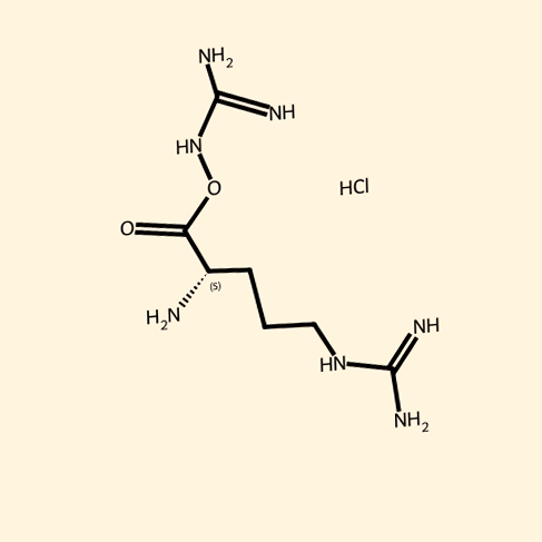 Cl.N=C(N)NCCC[C@H](N)C(=O)ONC(=N)N